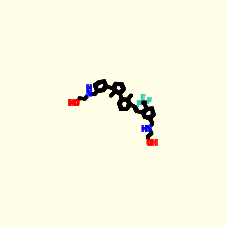 Cc1c(/C=C/c2cc(CNCCO)ccc2C(F)(F)F)cccc1-c1cccc(-c2cccc(CNCCO)c2)c1C